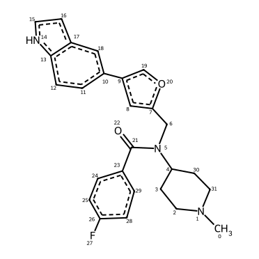 CN1CCC(N(Cc2cc(-c3ccc4[nH]ccc4c3)co2)C(=O)c2ccc(F)cc2)CC1